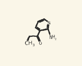 CCC(=O)c1cccnc1N